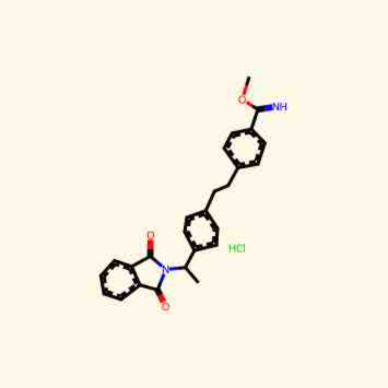 COC(=N)c1ccc(CCc2ccc(C(C)N3C(=O)c4ccccc4C3=O)cc2)cc1.Cl